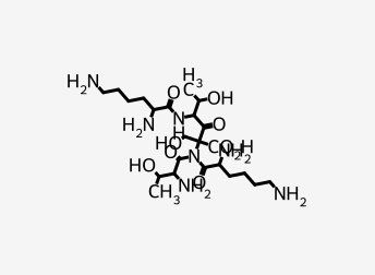 CC(O)C(N)C(=O)N(C(=O)C(N)CCCCN)C(CO)(C(=O)O)C(=O)C(NC(=O)C(N)CCCCN)C(C)O